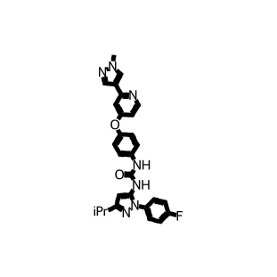 CC(C)c1cc(NC(=O)Nc2ccc(Oc3ccnc(-c4cnn(C)c4)c3)cc2)n(-c2ccc(F)cc2)n1